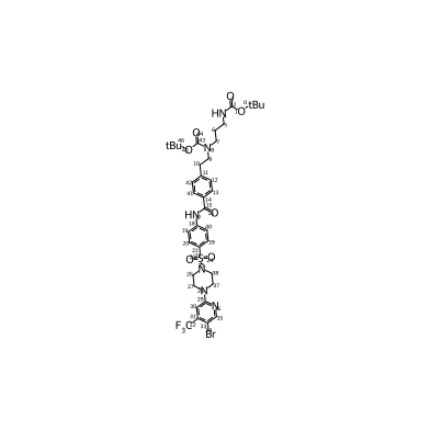 CC(C)(C)OC(=O)NCCCN(CCc1ccc(C(=O)Nc2ccc(S(=O)(=O)N3CCN(c4cc(C(F)(F)F)c(Br)cn4)CC3)cc2)cc1)C(=O)OC(C)(C)C